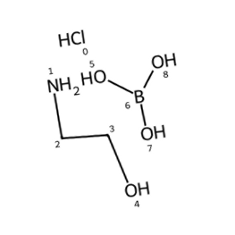 Cl.NCCO.OB(O)O